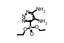 CCOP(=O)(OCC)c1nnnc(N)c1N